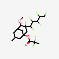 COC1C2CC(C)CC(OC(=O)C(C)(F)F)(C2)CC1(F)C(F)C(F)C(F)C(F)CF